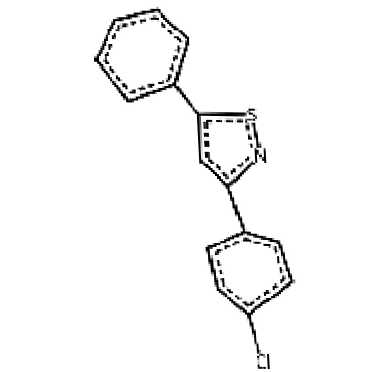 Clc1ccc(-c2[c]c(-c3ccccc3)sn2)cc1